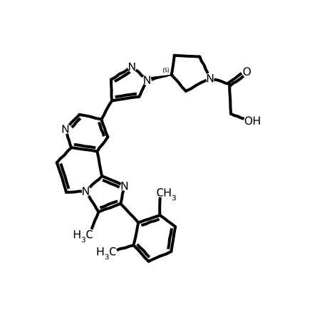 Cc1cccc(C)c1-c1nc2c3cc(-c4cnn([C@H]5CCN(C(=O)CO)C5)c4)cnc3ccn2c1C